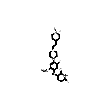 COc1cc(N2CCN(CCC3CCN(N)CC3)CC2)c(F)cc1NC1CCC(=O)NC1=O